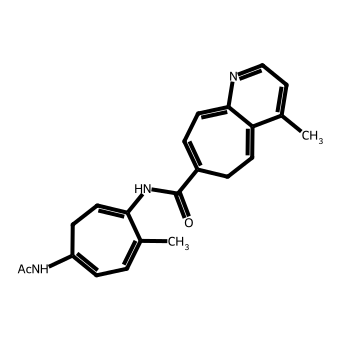 CC(=O)NC1=CC=C(C)C(NC(=O)C2=CC=c3nccc(C)c3=CC2)=CC1